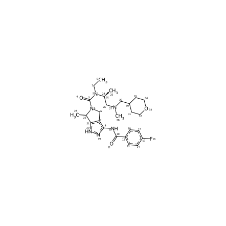 CCN(C(=O)N1Cc2c(NC(=O)c3ccc(F)cc3)n[nH]c2C1C)[C@@H](C)CN(C)CC1CCOCC1